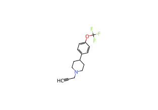 C#CCN1CCC(c2ccc(OC(F)(F)F)cc2)CC1